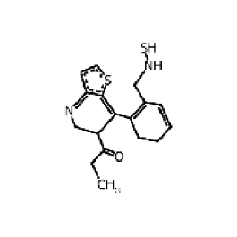 CCC(=O)C1CN=c2ccsc2=C1C1=C(CNS)C=CCC1